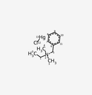 CC[N+](C)(C)Cc1ccccc1.[Cl][Hg]